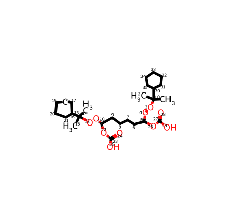 CC(C)(OOC(CCCCC(OOC(C)(C)C1CCCCC1)OC(=O)O)OC(=O)O)C1CCCCC1